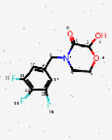 O=C1C(O)OCCN1Cc1cc(F)c(F)c(F)c1